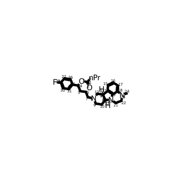 CCCC(=O)OC(CCCN1CC[C@H]2[C@@H](C1)c1cccc3c1N2CCN3C)c1ccc(F)cc1